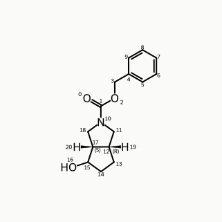 O=C(OCc1ccccc1)N1C[C@@H]2CCC(O)[C@@H]2C1